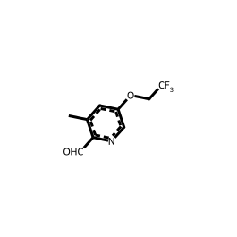 Cc1cc(OCC(F)(F)F)cnc1C=O